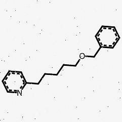 c1ccc(COCCCCCc2ccccn2)cc1